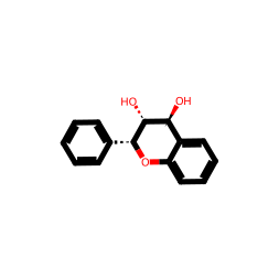 O[C@H]1[C@@H](c2ccccc2)Oc2ccccc2[C@@H]1O